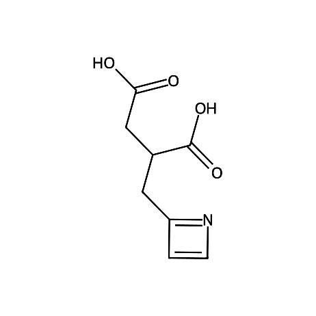 O=C(O)CC(CC1=NC=C1)C(=O)O